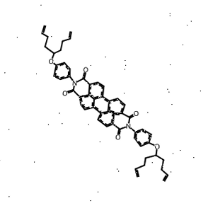 C=CCCC(CCC=C)Oc1ccc(N2C(=O)c3ccc4c5ccc6c7c(ccc(c8ccc(c3c48)C2=O)c75)C(=O)N(c2ccc(OC(CCC=C)CCC=C)cc2)C6=O)cc1